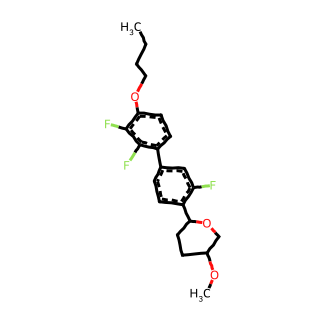 CCCCOc1ccc(-c2ccc(C3CCC(OC)CO3)c(F)c2)c(F)c1F